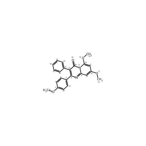 COc1ccc(-c2nc3cc(OC)cc(OC)n3c(=O)c2-c2ccccc2)cc1